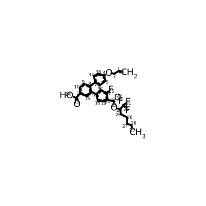 C=CCOc1ccc(-c2ccc(C(=O)O)cc2-c2ccc(C(=O)OC(CCCCC)C(F)(F)F)c(F)c2)cc1